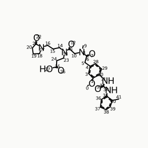 COc1cc(CC(=O)N(C)CC(=O)N(CCCN2CCCC2=O)CCC(=O)O)ccc1NC(=O)Nc1ccccc1C